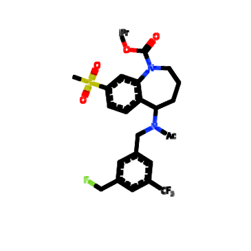 CC(=O)N(Cc1cc(CF)cc(C(F)(F)F)c1)C1CCCN(C(=O)OC(C)C)c2cc(S(C)(=O)=O)ccc21